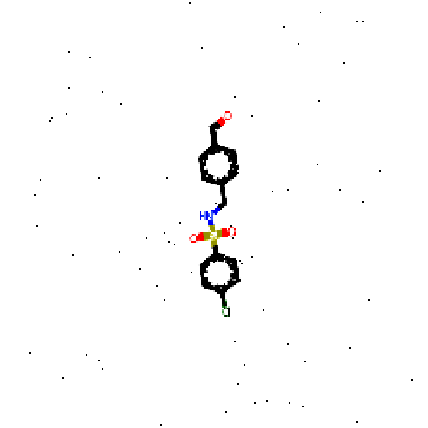 O=[C]c1ccc(CNS(=O)(=O)c2ccc(Cl)cc2)cc1